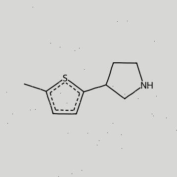 Cc1ccc(C2CCNC2)s1